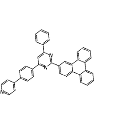 c1ccc(-c2cc(-c3ccc(-c4ccncc4)cc3)nc(-c3ccc4c5ccccc5c5ccccc5c4c3)n2)cc1